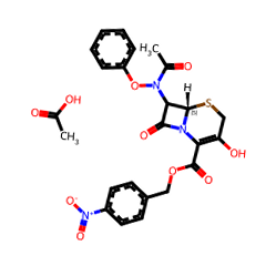 CC(=O)N(Oc1ccccc1)C1C(=O)N2C(C(=O)OCc3ccc([N+](=O)[O-])cc3)=C(O)CS[C@@H]12.CC(=O)O